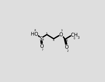 CC(=O)OCCS(=O)O